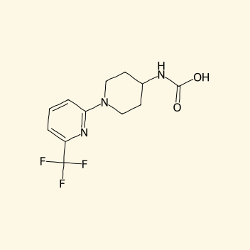 O=C(O)NC1CCN(c2cccc(C(F)(F)F)n2)CC1